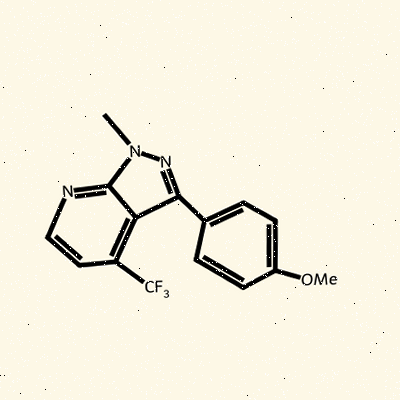 COc1ccc(-c2nn(C)c3nccc(C(F)(F)F)c23)cc1